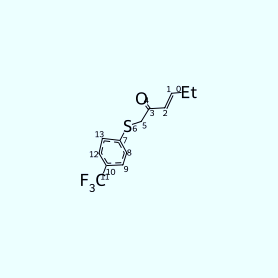 CCC=CC(=O)CSc1ccc(C(F)(F)F)cc1